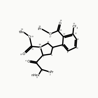 CCCCCCC(CCC)C(=O)C1CC(c2cccc(C(F)(F)F)c2C(=O)OC(C)C)CN1C(=O)OC(C)(C)C